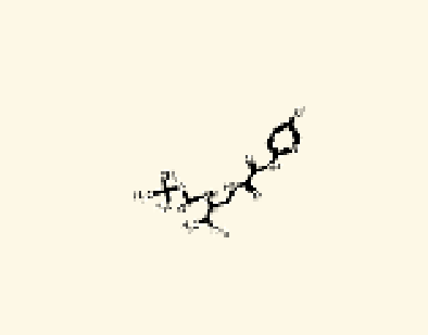 CC(C)[C@H](CNC(=O)C(=O)Nc1ccc(Cl)cn1)NC(=O)OC(C)(C)C